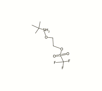 CC(C)(C)[SiH2]OCCOS(=O)(=O)C(F)(F)F